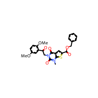 COc1ccc(OC)c(C(=O)Cn2c(=O)c3cc(C(=O)OCc4ccccc4)sc3n(C)c2=O)c1